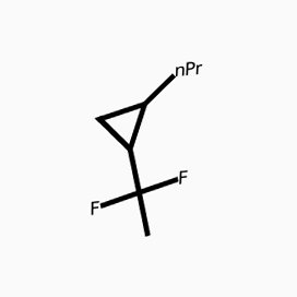 CCCC1CC1C(C)(F)F